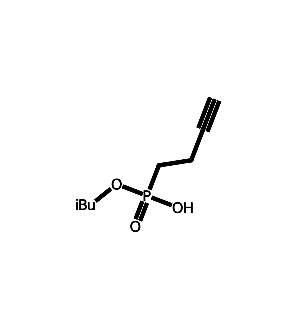 C#CCCP(=O)(O)OC(C)CC